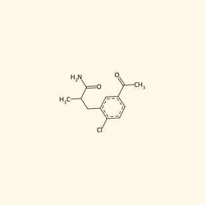 CC(=O)c1ccc(Cl)c(CC(C)C(N)=O)c1